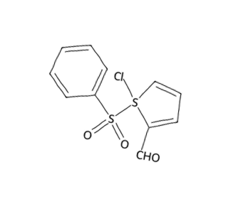 O=CC1=CC=CS1(Cl)S(=O)(=O)c1ccccc1